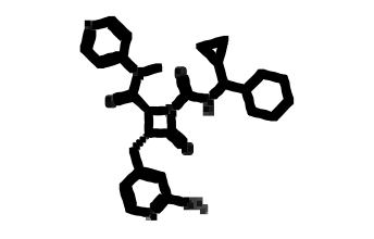 CN(C(=O)[C@@H]1[C@@H](Cc2ccnc(N)c2)C(=O)N1C(=O)NC(C1CCCCC1)C1CC1)c1ccncc1